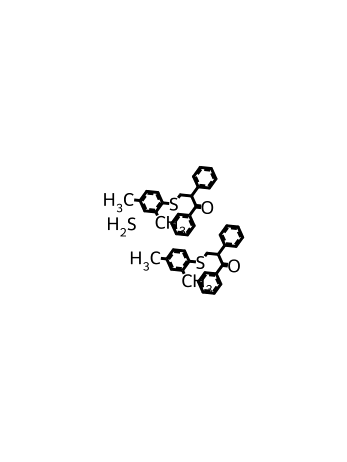 Cc1ccc(SCC(C(=O)c2ccccc2)c2ccccc2)c(C)c1.Cc1ccc(SCC(C(=O)c2ccccc2)c2ccccc2)c(C)c1.S